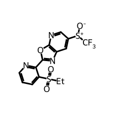 CCS(=O)(=O)c1cccnc1-c1nc2cc([S+]([O-])C(F)(F)F)cnc2o1